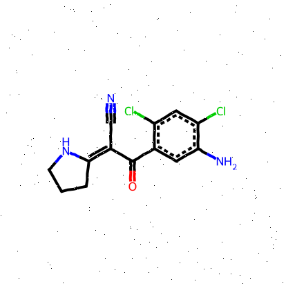 N#CC(C(=O)c1cc(N)c(Cl)cc1Cl)=C1CCCN1